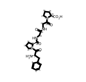 N[C@@H](Cc1ccccc1)C(=O)N1CCC[C@H]1C(=O)NCC(=O)NCC(=O)N1CCC[C@H]1C(=O)O